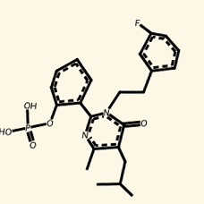 Cc1nc(-c2ccccc2OP(=O)(O)O)n(CCc2cccc(F)c2)c(=O)c1CC(C)C